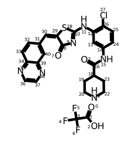 O=C(O)C(F)(F)F.O=C1N=C(Nc2cc(NC(=O)C3CCNCC3)ccc2Cl)SC1=Cc1ccc2nccnc2c1